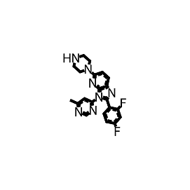 Cc1cc(-n2c(-c3ccc(F)cc3F)nc3ccc(N4CCNCC4)nc32)ncn1